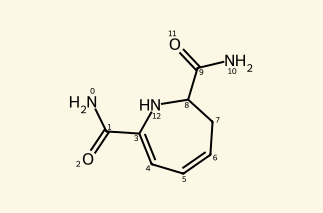 NC(=O)C1=CC=CCC(C(N)=O)N1